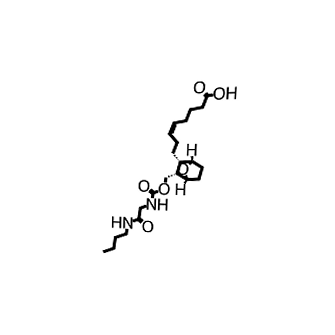 CCCCNC(=O)CNC(=O)OC[C@@H]1[C@H](CC/C=C\CCCC(=O)O)[C@@H]2CC[C@H]1O2